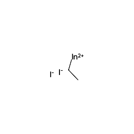 C[CH2][In+2].[I-].[I-]